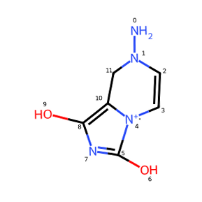 NN1C=C[N+]2C(O)=NC(O)=C2C1